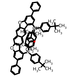 CC(C)(C)c1ccc(N(c2ccc(C(C)(C)C)cc2)c2cc(-c3ccccc3)cc3oc4cc5cc6oc7cc(-c8ccccc8)cc(N(c8ccc(C(C)(C)C)cc8)c8ccc(C(C)(C)C)cc8)c7c6cc5cc4c23)cc1